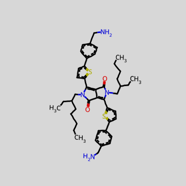 CCCCCC(CC)CN1C(=O)C2=C(c3ccc(-c4ccc(CN)cc4)s3)N(CC(CC)CCCC)C(=O)C2=C1c1ccc(-c2ccc(CN)cc2)s1